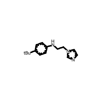 CC(C)(C)c1ccc(NCCn2ccnc2)cc1